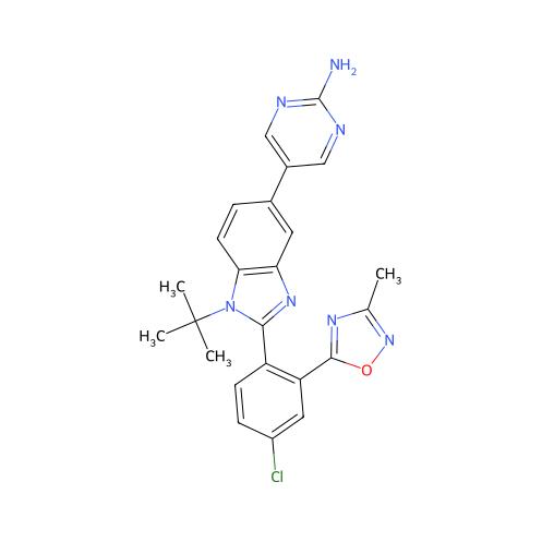 Cc1noc(-c2cc(Cl)ccc2-c2nc3cc(-c4cnc(N)nc4)ccc3n2C(C)(C)C)n1